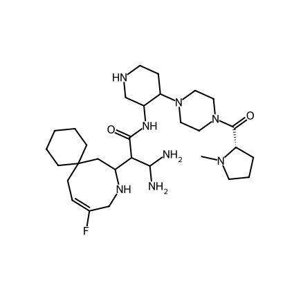 CN1CCC[C@H]1C(=O)N1CCN(C2CCNCC2NC(=O)C(C(N)N)C2CC3(C/C=C(/F)CN2)CCCCC3)CC1